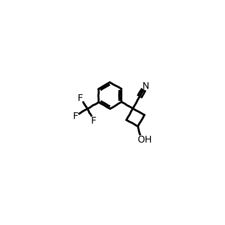 N#CC1(c2cccc(C(F)(F)F)c2)CC(O)C1